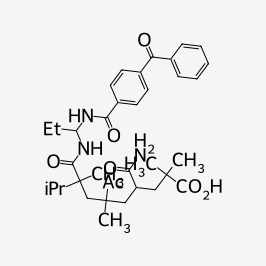 CCC(NC(=O)c1ccc(C(=O)c2ccccc2)cc1)NC(=O)C(C)(CC(C)(CC(CC(C)(C)C(=O)O)C(N)=O)C(C)=O)C(C)C